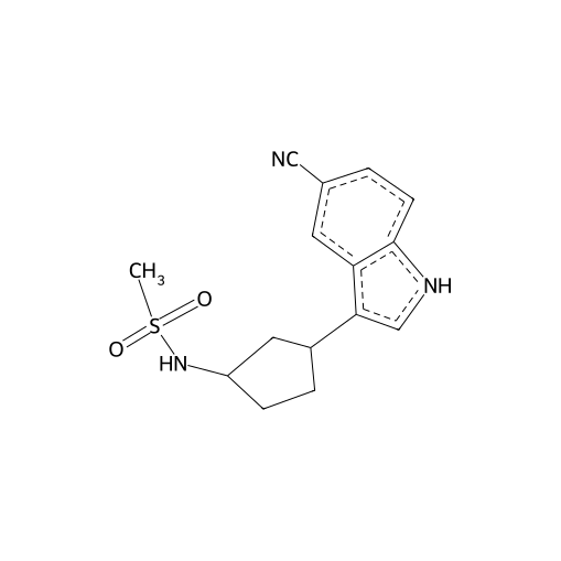 CS(=O)(=O)NC1CCC(c2c[nH]c3ccc(C#N)cc23)C1